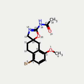 COc1ccc(Br)c2c1CC1(CC2)CN=C(NC(C)=O)O1